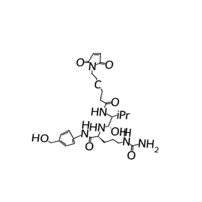 CC(C)C(NC(=O)CCCCCN1C(=O)C=CC1=O)[C@H](O)N[C@@H](CCCNC(N)=O)C(=O)Nc1ccc(CO)cc1